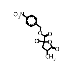 CC1CC(Cl)(C(=O)OCc2ccc([N+](=O)[O-])cc2)OC1=O